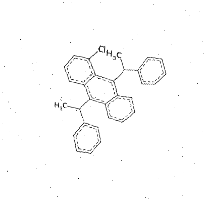 CC(c1ccccc1)c1c2ccccc2c(C(C)c2ccccc2)c2c(Cl)cccc12